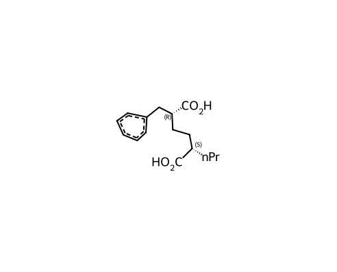 CCC[C@@H](CC[C@H](Cc1ccccc1)C(=O)O)C(=O)O